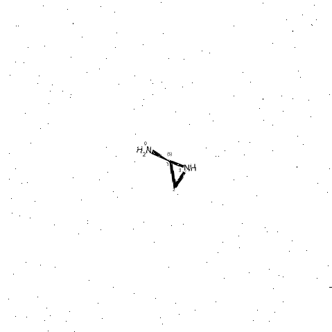 N[C@@H]1CN1